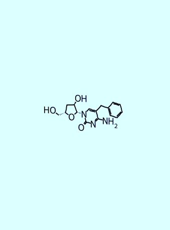 Nc1nc(=O)n([C@@H]2O[C@H](CO)C[C@H]2O)cc1Cc1ccccc1